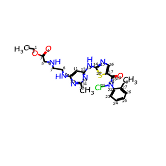 CCOC(=O)CNCCNc1cc(Nc2ncc(C(=O)N(Cl)c3ccccc3C)s2)nc(C)n1